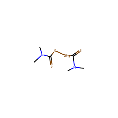 CN(C)C(=S)S[SH2]C(=S)N(C)C